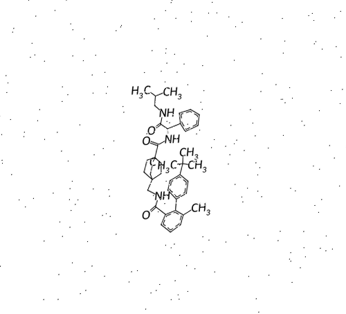 Cc1cccc(C(=O)NCC23CCC(C(=O)N[C@H](C(=O)NCC(C)C)c4ccccc4)(CC2)CC3)c1-c1ccc(C(C)(C)C)cc1